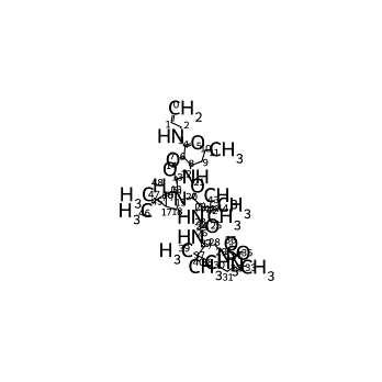 C=CCNC(=O)C(=O)C(CCC)NC(=O)[C@@H]1[C@@H]2C(CN1C(=O)[C@@H](NC(=O)N[C@H](CN1CCN(C)S1(=O)=O)C(C)(C)C)C(C)(C)C)C2(C)C